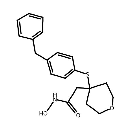 O=C(CC1(Sc2ccc(Cc3ccccc3)cc2)CCOCC1)NO